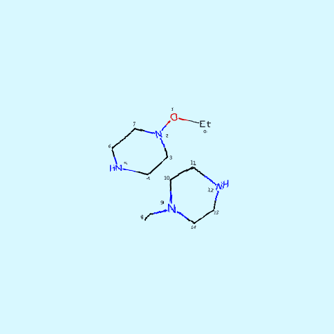 CCON1CCNCC1.CN1CCNCC1